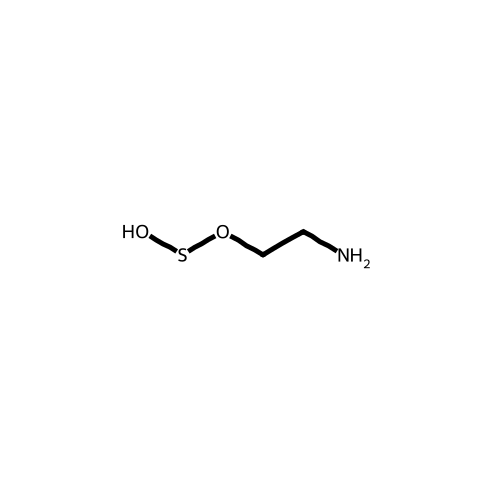 NCCOSO